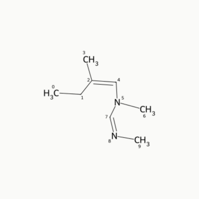 CC/C(C)=C\N(C)/C=N\C